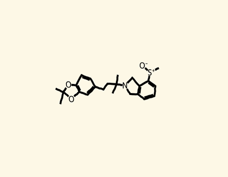 C[S+]([O-])c1cccc2c1CN(C(C)(C)CCc1ccc3c(c1)OC(C)(C)O3)C2